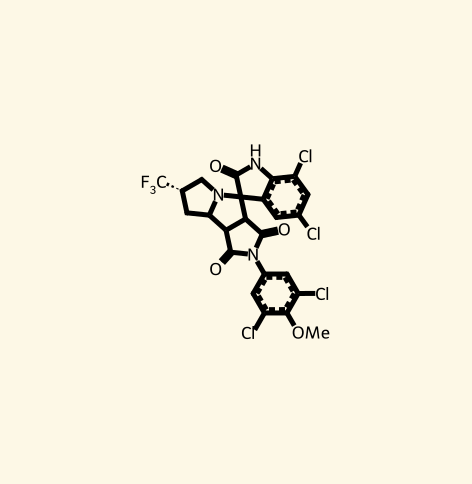 COc1c(Cl)cc(N2C(=O)C3C4C[C@H](C(F)(F)F)CN4C4(C(=O)Nc5c(Cl)cc(Cl)cc54)C3C2=O)cc1Cl